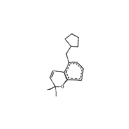 CC1(C)C=Cc2c(CC3CCCC3)cccc2O1